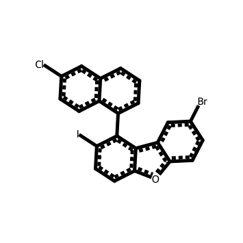 Clc1ccc2c(-c3c(I)ccc4oc5ccc(Br)cc5c34)cccc2c1